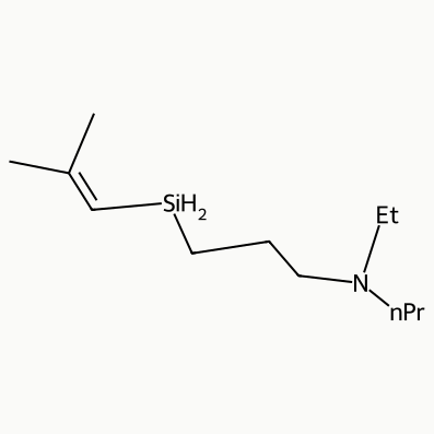 CCCN(CC)CCC[SiH2]C=C(C)C